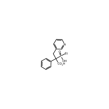 CCP(=O)(O)C(Cc1cccnc1)(C(=O)O)c1ccccc1